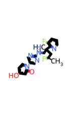 C[C@@H](F)C[C@](C)(CNc1ncc(-n2ccc(O)cc2=O)cn1)c1ncccc1F